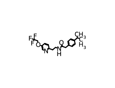 CC(C)c1ccc(CC(=O)NCCc2ccc(OCC(F)(F)F)cn2)cc1